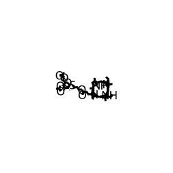 C=Cc1c(C)c2cc3nc(c(C)c4cc(C)c(cc5nc(cc1[nH]2)C(C)=C5CC)[nH]4)C(CCC(=O)OCCCS[C@@H]1O[C@H](COC(C)=O)[C@@H](OC(C)=O)[C@H](C)[C@H]1C)=C3C